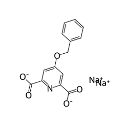 O=C([O-])c1cc(OCc2ccccc2)cc(C(=O)[O-])n1.[Na+].[Na+]